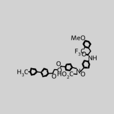 COc1ccc(CC(=O)Nc2ccc(C(=O)N(CC(=O)O)Cc3ccc(C(=O)OCC(=O)c4ccc(-c5ccc(C)cc5)cc4)cc3)cc2)c(C(F)(F)F)c1